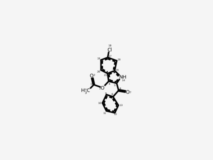 CC(=O)Oc1c(C(=O)c2ccccc2)[nH]c2cc(Cl)ccc12